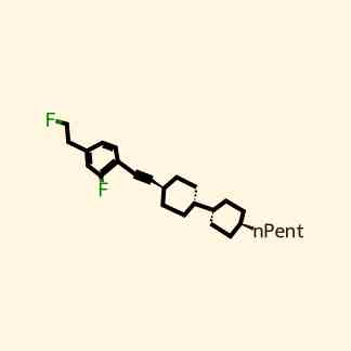 CCCCC[C@H]1CC[C@H]([C@H]2CC[C@H](C#Cc3ccc(CCF)cc3F)CC2)CC1